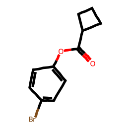 O=C(Oc1ccc(Br)cc1)C1CCC1